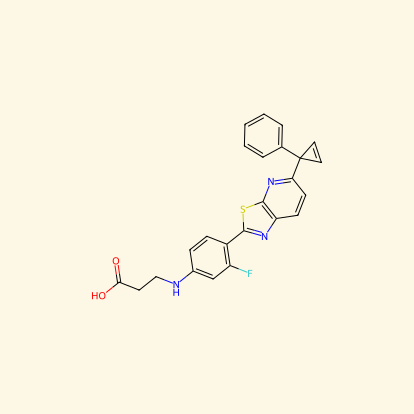 O=C(O)CCNc1ccc(-c2nc3ccc(C4(c5ccccc5)C=C4)nc3s2)c(F)c1